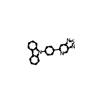 c1ccc2c(c1)c1ccccc1n2-c1ccc(-c2cc3nsnc3cn2)cc1